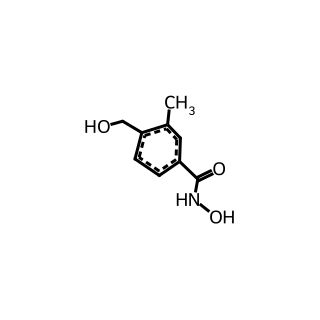 Cc1cc(C(=O)NO)ccc1CO